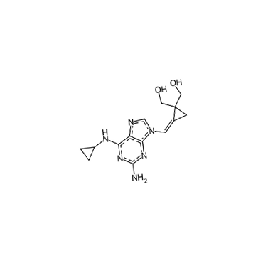 Nc1nc(NC2CC2)c2ncn(/C=C3/CC3(CO)CO)c2n1